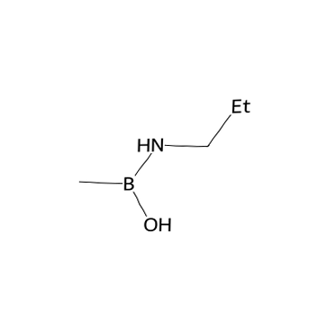 CCCNB(C)O